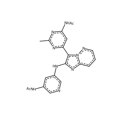 CC(=O)Nc1cncc(Nc2nc3cccnn3c2-c2cc(NC(C)=O)nc(C)n2)c1